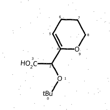 CC(C)(C)OC(C(=O)O)C1=CCCCO1